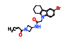 C=CC(=O)N1CC(NC(=O)Cn2c3c(c4cc(Br)ccc42)CCCC3)C1